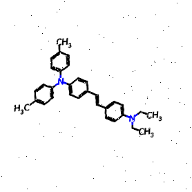 CCN(CC)c1ccc(C=Cc2ccc(N(c3ccc(C)cc3)c3ccc(C)cc3)cc2)cc1